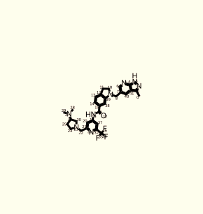 Cc1n[nH]c2ncc(CN3CCc4ccc(C(=O)Nc5cc(CN6CCC(N(C)C)C6)nc(C(F)(F)F)c5)cc43)cc12